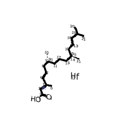 C/C(=C\C(=O)O)CCC[C@H](C)CCC[C@H](C)CCCC(C)C.[Hf]